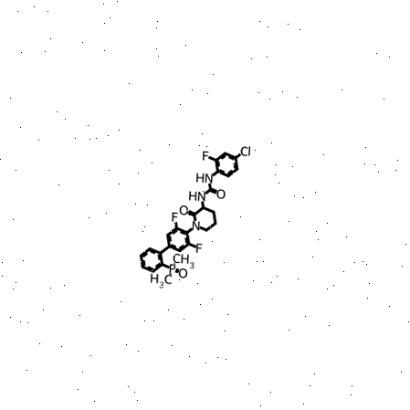 CP(C)(=O)c1ccccc1-c1cc(F)c(N2CCCC(NC(=O)Nc3ccc(Cl)cc3F)C2=O)c(F)c1